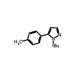 Cc1ccc(-c2ccnn2C(C)(C)C)cc1